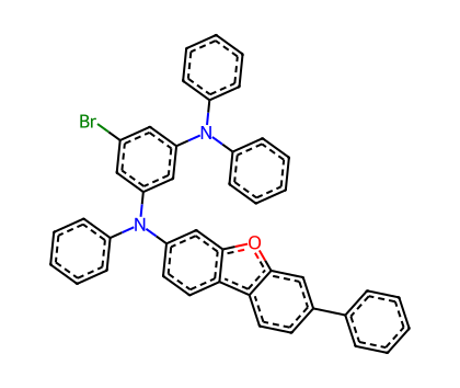 Brc1cc(N(c2ccccc2)c2ccccc2)cc(N(c2ccccc2)c2ccc3c(c2)oc2cc(-c4ccccc4)ccc23)c1